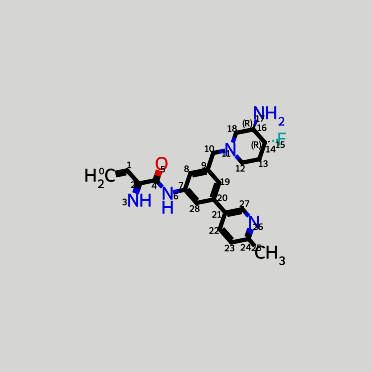 C=CC(=N)C(=O)Nc1cc(CN2CC[C@@H](F)[C@H](N)C2)cc(-c2ccc(C)nc2)c1